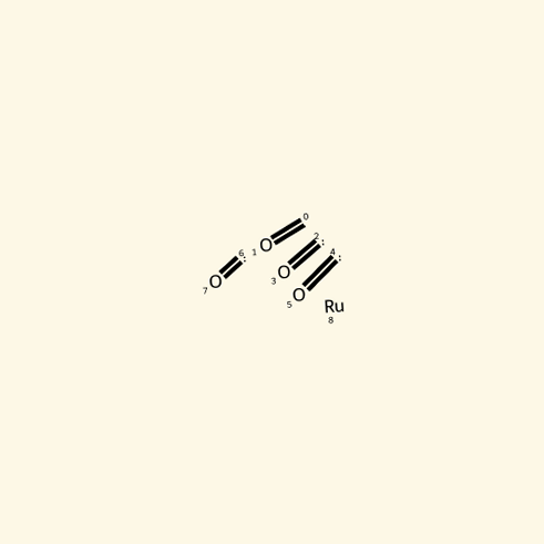 [C]=O.[C]=O.[C]=O.[C]=O.[Ru]